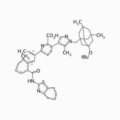 C=c1cccc(C(=O)Nc2nc3ccccc3s2)/c1=C/C(=C\C)c1ccc(-c2cnn(CC34CC5(C)CC(C)(C3)CC(OC(C)(C)C)(C5)C4)c2C)c(C(=O)O)n1